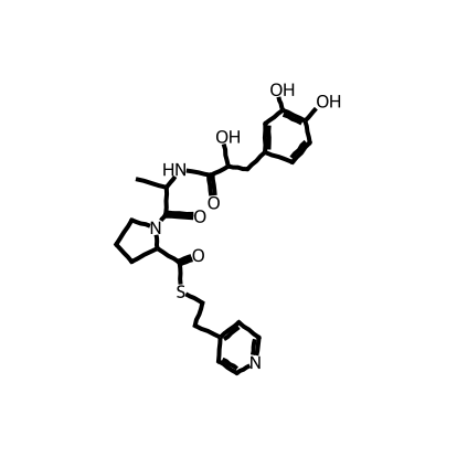 CC(NC(=O)C(O)Cc1ccc(O)c(O)c1)C(=O)N1CCCC1C(=O)SCCc1ccncc1